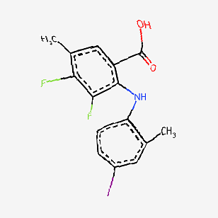 Cc1cc(I)ccc1Nc1c(C(=O)O)cc(C)c(F)c1F